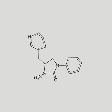 NN1C(=O)N(c2ccccc2)CC1Cc1cccnc1